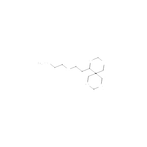 CCCCCCCCCCCCSCCC1OCOCC12COCOC2